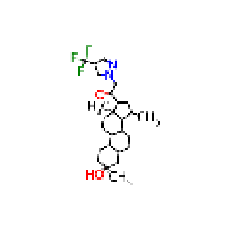 CC1CC(C(=O)CN2CC(C(F)(F)F)C=N2)C2(C)CCC3C4CC[C@@](C)(O)CC4CCC3C12